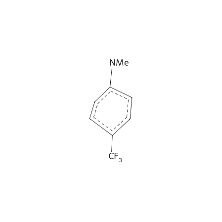 [CH2]Nc1ccc(C(F)(F)F)cc1